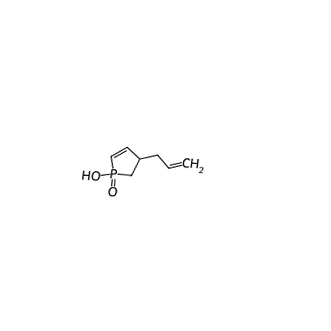 C=CCC1C=CP(=O)(O)C1